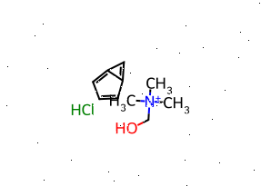 C[N+](C)(C)CO.Cl.c1cc2cc-2c1